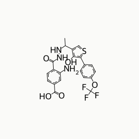 CC(NNC(=O)c1ccc(C(=O)O)cc1N)c1csc(-c2ccc(OC(F)(F)F)cc2)c1O